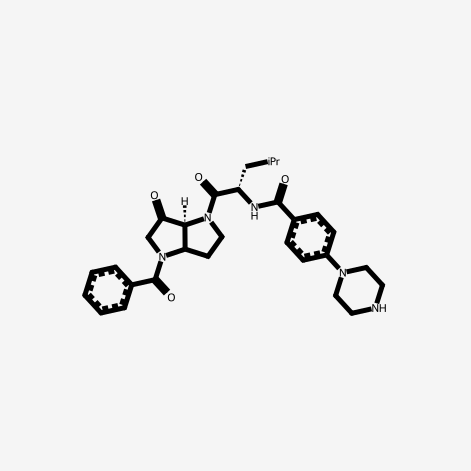 CC(C)C[C@H](NC(=O)c1ccc(N2CCNCC2)cc1)C(=O)N1CCC2[C@H]1C(=O)CN2C(=O)c1ccccc1